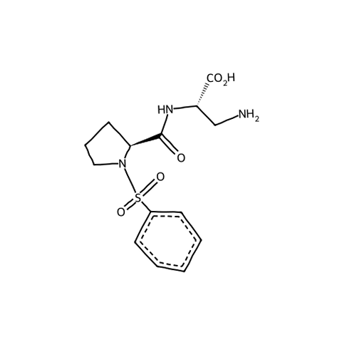 NC[C@H](NC(=O)[C@@H]1CCCN1S(=O)(=O)c1ccccc1)C(=O)O